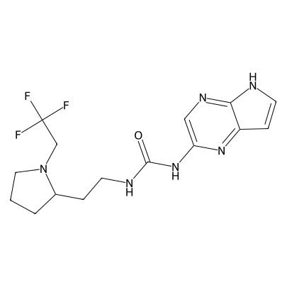 O=C(NCCC1CCCN1CC(F)(F)F)Nc1cnc2[nH]ccc2n1